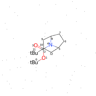 CC(C)(C)OC(=O)N1C2CCC1CC(C(C)(C)C)C2